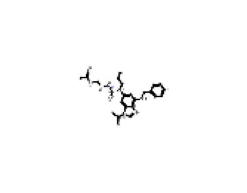 CCCN(c1cc(NCc2ccccc2)c2ncn(C(C)C)c2c1)/[N+]([O-])=N/OCOC(C)=O